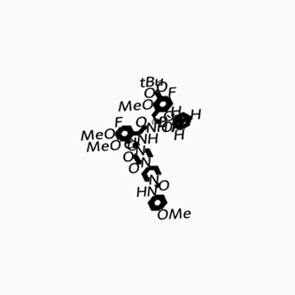 COc1ccc(NC(=O)N2CCC(N3CCN(C(=O)NC(C(=O)N[C@@H](Cc4ccc(F)c(C(=O)OC(C)(C)C)c4OC)B4O[C@@H]5C[C@@H]6C[C@@H](C6(C)C)[C@]5(C)O4)c4cc(F)c(OC)c(OC)c4Cl)C(=O)C3=O)CC2)cc1